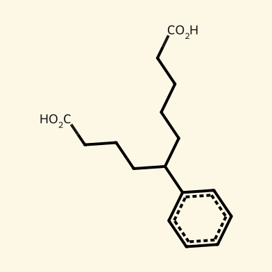 O=C(O)CCCCC(CCCC(=O)O)c1ccccc1